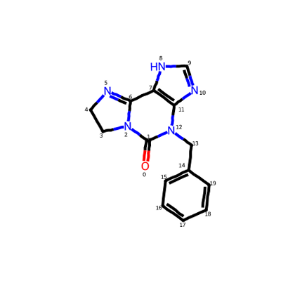 O=C1N2CCN=C2c2[nH]cnc2N1Cc1ccccc1